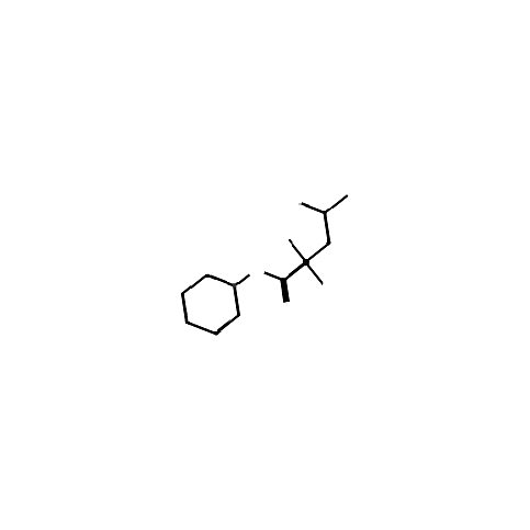 CC(I)CC(C)(C)C(=O)OC1CCCCC1